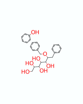 OCC(O)C(O)C(O)C(O)C(Cc1ccccc1)OCc1ccccc1.Oc1ccccc1